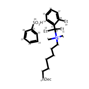 CCCCCCCCCCCCCCCC[N+](C)(C)C(CC)(CC)c1ccccc1CC.O=S(=O)(O)c1ccccc1